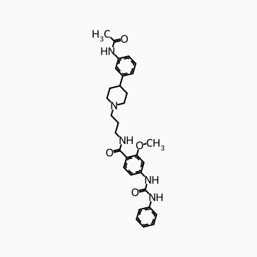 COc1cc(NC(=O)Nc2ccccc2)ccc1C(=O)NCCCN1CCC(c2cccc(NC(C)=O)c2)CC1